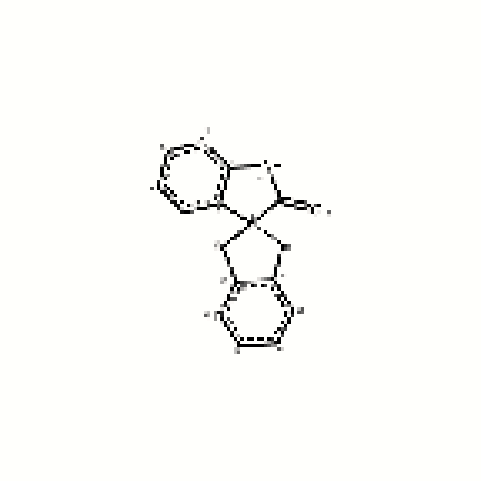 O=C1Nc2ncccc2[C@@]12Cc1cccnc1C2